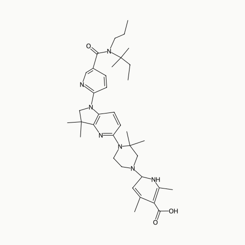 CCCN(C(=O)c1ccc(N2CC(C)(C)c3nc(N4CCN(C5C=C(C)C(C(=O)O)=C(C)N5)CC4(C)C)ccc32)nc1)C(C)(C)CC